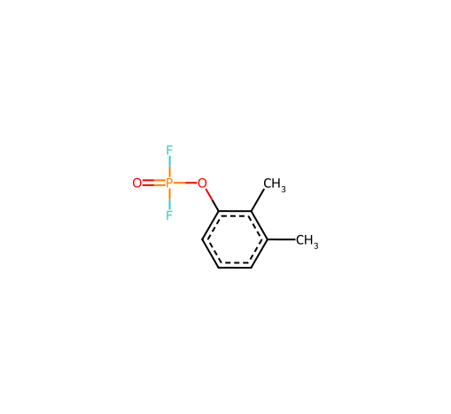 Cc1cccc(OP(=O)(F)F)c1C